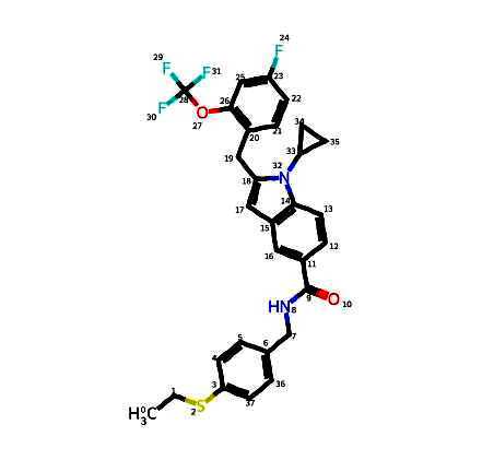 CCSc1ccc(CNC(=O)c2ccc3c(c2)cc(Cc2ccc(F)cc2OC(F)(F)F)n3C2CC2)cc1